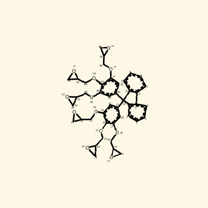 c1ccc2c(c1)-c1ccccc1C2(c1cc(OCC2CO2)c(OCC2CO2)c(OCC2CO2)c1)c1cc(OCC2CO2)c(OCC2CO2)c(OCC2CO2)c1